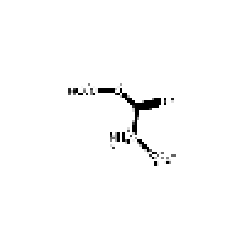 N.O=C(O)OC(=O)OC(=O)O